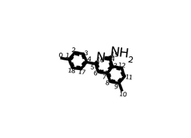 Cc1ccc(-c2cc3cc(C)ccc3c(N)n2)cc1